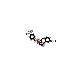 CN1CC[C@]2(C)c3cc(O)ccc3C[C@@H]1[C@@H]2NCCc1ccc(S(C)(=O)=O)cc1